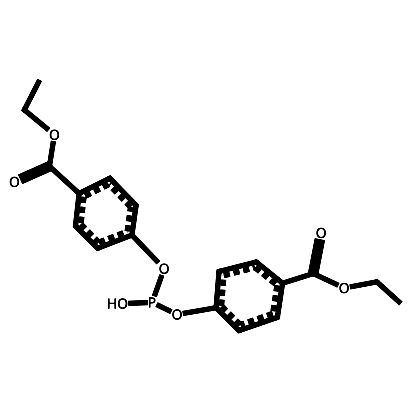 CCOC(=O)c1ccc(OP(O)Oc2ccc(C(=O)OCC)cc2)cc1